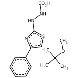 COC(C)(C)C.O=C(O)NNc1nc(-c2ccccc2)cs1